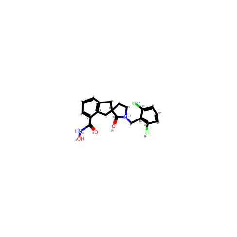 O=C(NO)c1cccc2c1CC1(CCN(Cc3c(Cl)cccc3Cl)C1=O)C2